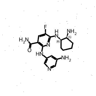 NC(=O)c1cc(F)c(N[C@@H]2CCCC[C@@H]2N)nc1Nc1cncc(N)c1